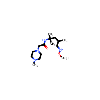 CC(CNOS(=O)(=O)O)CC(C)(C)NC(=O)CN1CCN(C)CC1